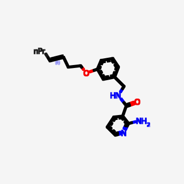 CCC/C=C/CCOc1cccc(CNC(=O)c2cccnc2N)c1